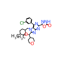 COC(c1nc2nc(-c3n[nH]c(=O)o3)nc(-c3cccc(Cl)c3)c2n1CC1CCC(C)CC1)C1CCOCC1